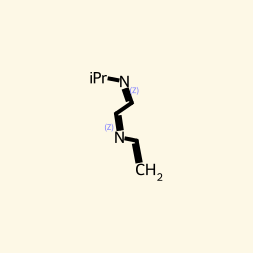 C=C/N=C\C=N/C(C)C